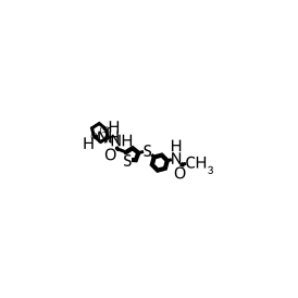 CC(=O)Nc1cccc(Sc2csc(C(=O)N[C@@H]3C[C@H]4CC[C@@H]3N4)c2)c1